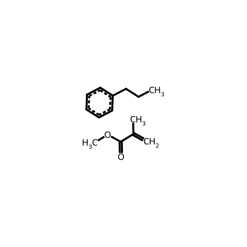 C=C(C)C(=O)OC.CCCc1ccccc1